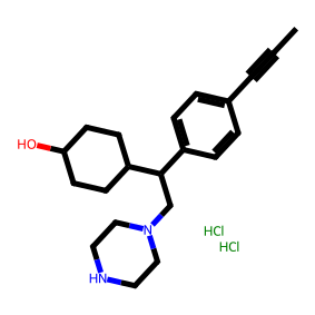 CC#Cc1ccc(C(CN2CCNCC2)C2CCC(O)CC2)cc1.Cl.Cl